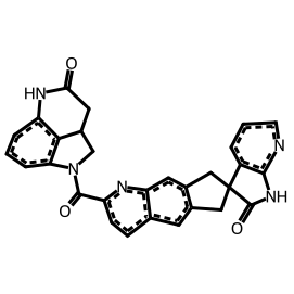 O=C1CC2CN(C(=O)c3ccc4cc5c(cc4n3)CC3(C5)C(=O)Nc4ncccc43)c3cccc(c32)N1